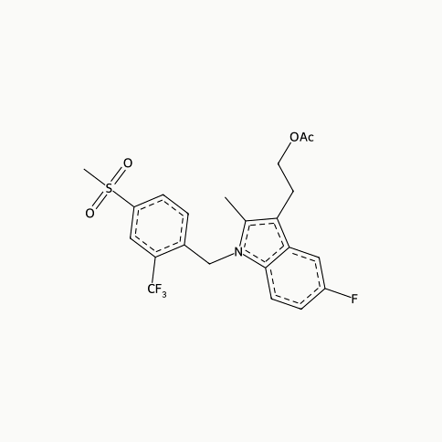 CC(=O)OCCc1c(C)n(Cc2ccc(S(C)(=O)=O)cc2C(F)(F)F)c2ccc(F)cc12